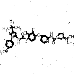 COc1ccc(-n2nc(C(C)(C)C)cc2NC(=O)Nc2ccc(Oc3ccnc(NC(=O)N4CCC(N(C)C)C4)c3)c(Cl)c2Cl)cc1